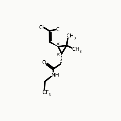 CC1(C)[C@H](C=C(Cl)Cl)[C@H]1CC(=O)NCC(F)(F)F